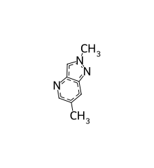 Cc1cnc2cn(C)nc2c1